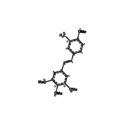 COc1ccc(/C=C/c2cc(OC)c(OC)c(OC)c2)cc1C